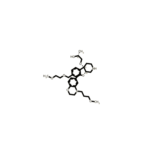 COCCCN1CCOc2ccc(CO[C@H]3CNCC[C@]3(OC[C@@H](C)O)c3ccc(COCCOC)cc3)cc21